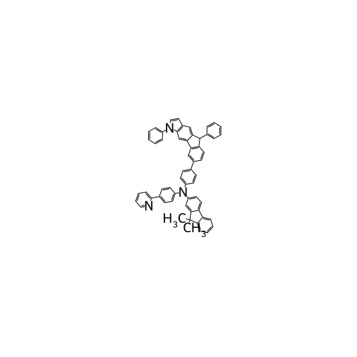 CC1(C)c2ccccc2-c2ccc(N(c3ccc(-c4ccc5c(c4)-c4cc6c(ccn6-c6ccccc6)cc4C5c4ccccc4)cc3)c3ccc(-c4ccccn4)cc3)cc21